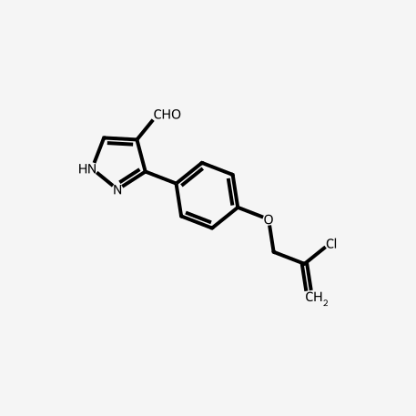 C=C(Cl)COc1ccc(-c2n[nH]cc2C=O)cc1